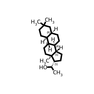 CC(O)[C@H]1CC[C@H]2[C@@H]3CC[C@@H]4CC(C)(C)CC[C@@H]4[C@H]3CC[C@]12C